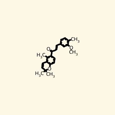 COc1cc(/C=C/C(=O)c2ccc3c(c2C)C=CC(C)(C)O3)ccc1C